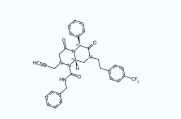 C#CCN1CC(=O)N2[C@@H](c3ccccc3)C(=O)N(CCc3ccc(C(F)(F)F)cc3)C[C@@H]2N1C(=O)NCc1ccccc1